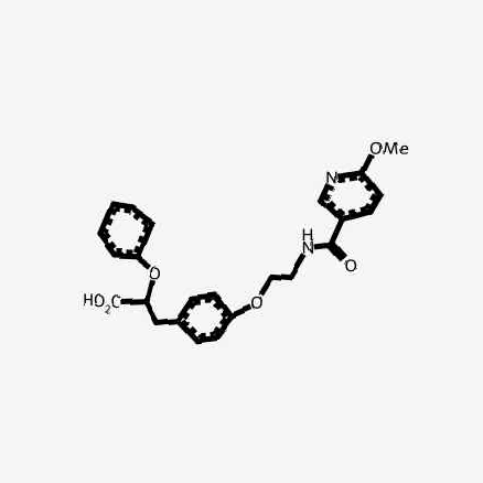 COc1ccc(C(=O)NCCOc2ccc(CC(Oc3ccccc3)C(=O)O)cc2)cn1